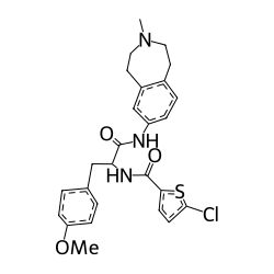 COc1ccc(CC(NC(=O)c2ccc(Cl)s2)C(=O)Nc2ccc3c(c2)CCN(C)CC3)cc1